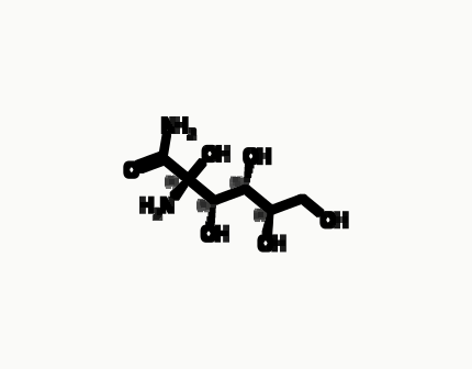 NC(=O)[C@](N)(O)[C@@H](O)[C@H](O)[C@H](O)CO